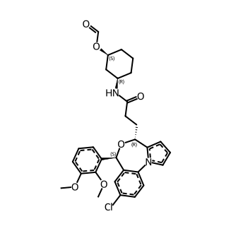 COc1cccc([C@H]2O[C@H](CCC(=O)N[C@@H]3CCC[C@H](OC=O)C3)c3cccn3-c3ccc(Cl)cc32)c1OC